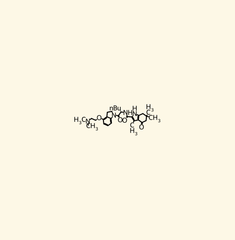 CCCC[C@H](NC(=O)c1[nH]c2c(c1C)C(=O)CC(C)(C)C2)C(=O)N1CCc2c(OCCN(C)C)cccc21